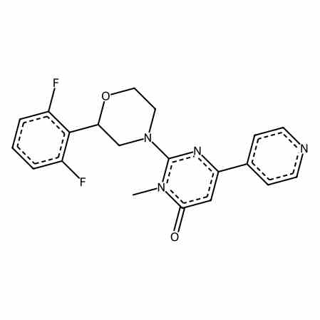 Cn1c(N2CCOC(c3c(F)cccc3F)C2)nc(-c2ccncc2)cc1=O